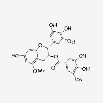 COc1cc(O)cc2c1C[C@H](OC(=O)c1cc(O)c(O)c(O)c1)[C@@H](c1cc(O)c(O)c(O)c1)O2